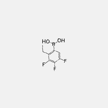 CCc1c(B(O)O)cc(F)c(F)c1F